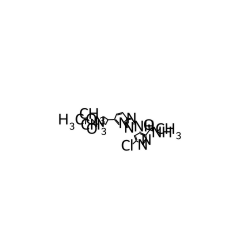 CNC(=O)c1nnc(Cl)cc1Nc1nc2ccc(C3CN(C(=O)OC(C)(C)C)C3)cn2n1